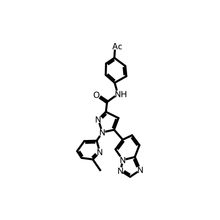 CC(=O)c1ccc(NC(=O)c2cc(-c3ccc4ncnn4c3)n(-c3cccc(C)n3)n2)cc1